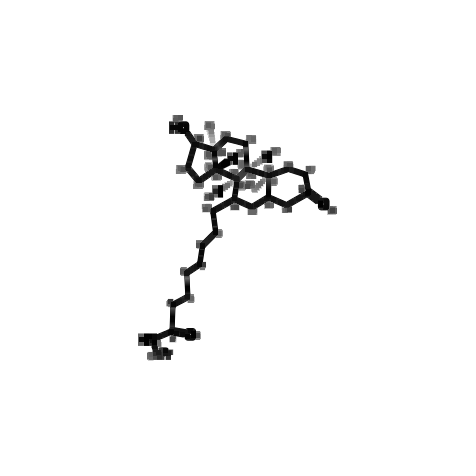 CCCNC(=O)CCCCCCCC1CC2CC(=O)CC[C@]2(C)[C@@H]2CC[C@]3(C)C(O)CC[C@H]3[C@H]12